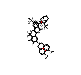 COc1ccc(CN(Cc2ccc(OC)cc2)c2cc(-c3nc4c5c(nc(S(C)(=O)=O)nc5c3F)N3CC5CCC(C3C(C)(C)O4)N5C(=O)OC(C)(C)C)c(C(F)(F)F)c(C)c2F)cc1